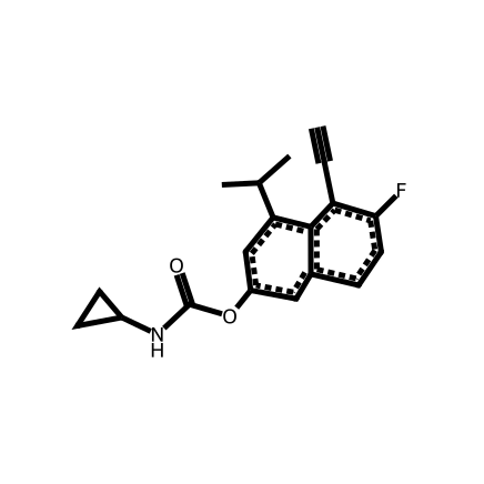 C#Cc1c(F)ccc2cc(OC(=O)NC3CC3)cc(C(C)C)c12